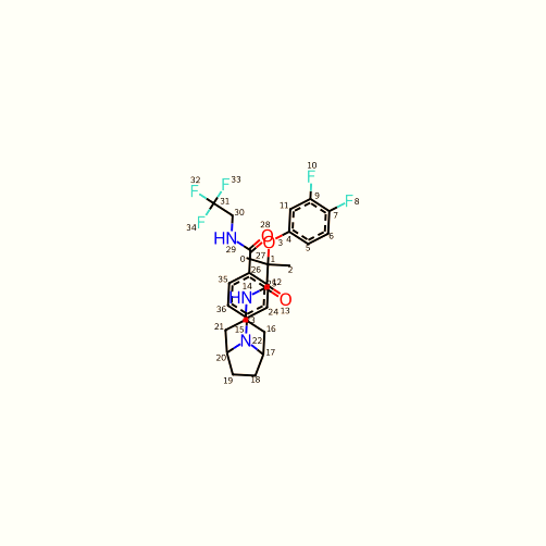 CC(C)(Oc1ccc(F)c(F)c1)C(=O)NC1CC2CCC(C1)N2c1ccc(C(=O)NCC(F)(F)F)cc1